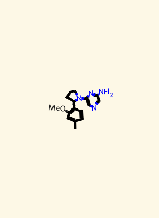 COc1cc(C)ccc1C1CCCN1c1cncc(N)n1